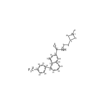 CN1CC(CCNC(=O)c2cnc3c(-c4ccc(C(F)(F)F)cc4)cccc3c2)C1